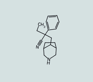 CCC(C#N)(CC1C2CCC1CNC2)c1ccccc1